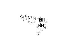 [NH4+].[NH4+].[NH4+].[NH4+].[S-2].[Se-2]